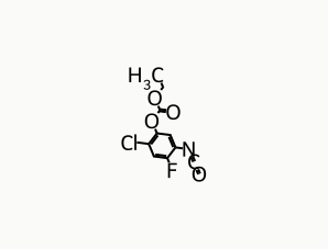 CCOC(=O)Oc1cc(N=C=O)c(F)cc1Cl